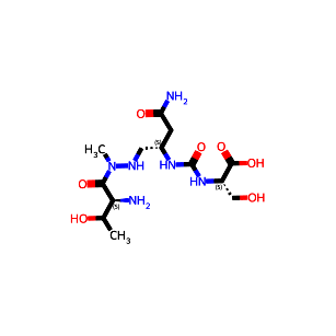 CC(O)[C@H](N)C(=O)N(C)NC[C@H](CC(N)=O)NC(=O)N[C@@H](CO)C(=O)O